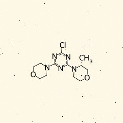 C[C@@H]1COCCN1c1nc(Cl)nc(N2CCOCC2)n1